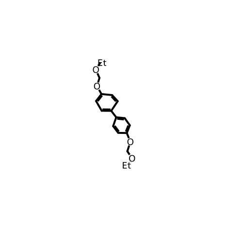 CCOCOc1ccc(-c2ccc(OCOCC)cc2)cc1